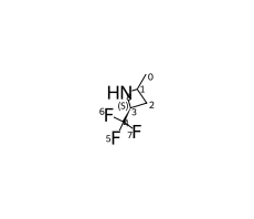 CC1C[C@@H](C(F)(F)F)N1